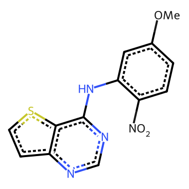 COc1ccc([N+](=O)[O-])c(Nc2ncnc3ccsc23)c1